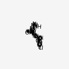 C[C@]1(c2ccc(Cl)cn2)Oc2cccc(C3CCN(Cc4nc5cc(-c6nnn[nH]6)ncc5n4C[C@@H]4CCO4)CC3)c2O1